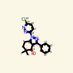 CC1(C)CCc2c(c(-c3ccccc3)nn2-c2ccc(Cl)nn2)C1=O